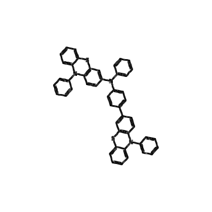 c1ccc(N(c2ccc(-c3ccc4c(c3)Sc3ccccc3N4c3ccccc3)cc2)c2ccc3c(c2)Sc2ccccc2N3c2ccccc2)cc1